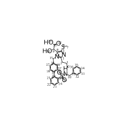 CCCc1nc(SC)c(C(O)C(=O)O)n1Cc1ccc(-c2ccccc2S(=O)(=O)NCc2ccccc2)cc1